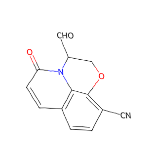 N#Cc1ccc2ccc(=O)n3c2c1OCC3C=O